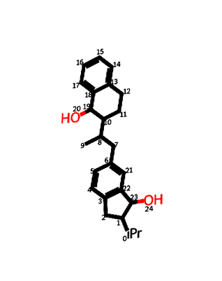 CC(C)C1Cc2ccc(CC(C)C3CCc4ccccc4C3O)cc2C1O